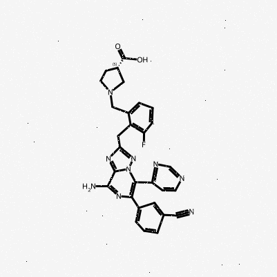 N#Cc1cccc(-c2nc(N)c3nc(Cc4c(F)cccc4CN4CC[C@H](C(=O)O)C4)nn3c2-c2ccncn2)c1